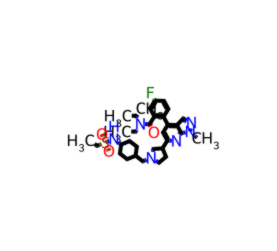 CCN(C(=O)c1cc(F)ccc1-c1cc(C2CCN(CC3CCC(NS(=O)(=O)CC)CC3)C2)nc2c1cnn2C)C(C)C